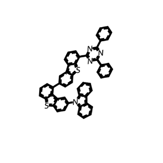 c1ccc(-c2nc(-c3ccccc3)nc(-c3cccc4c3sc3ccc(-c5cccc6sc7ccc(-n8c9ccccc9c9ccccc98)cc7c56)cc34)n2)cc1